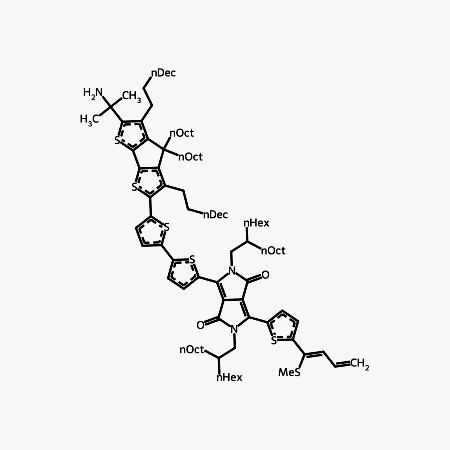 C=C/C=C(\SC)c1ccc(C2=C3C(=O)N(CC(CCCCCC)CCCCCCCC)C(c4ccc(-c5ccc(-c6sc7c(c6CCCCCCCCCCCC)C(CCCCCCCC)(CCCCCCCC)c6c-7sc(C(C)(C)N)c6CCCCCCCCCCCC)s5)s4)=C3C(=O)N2CC(CCCCCC)CCCCCCCC)s1